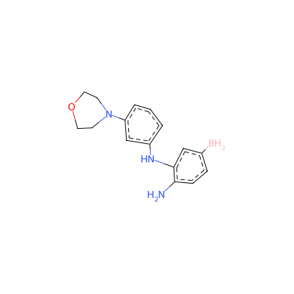 Bc1ccc(N)c(Nc2cccc(N3CCOCC3)c2)c1